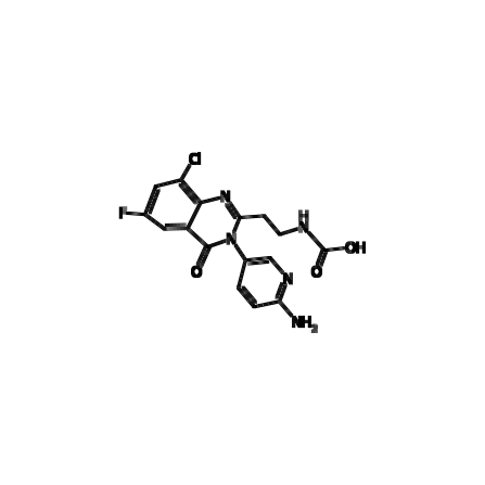 Nc1ccc(-n2c(CCNC(=O)O)nc3c(Cl)cc(F)cc3c2=O)cn1